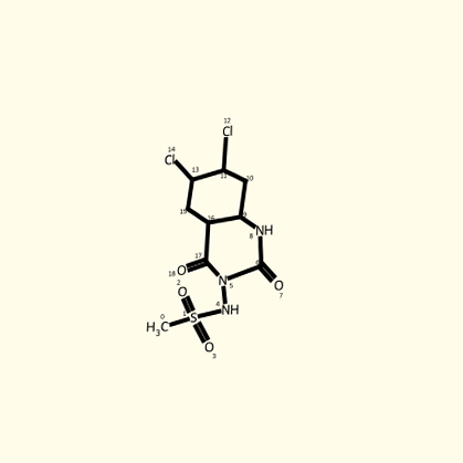 CS(=O)(=O)NN1C(=O)NC2CC(Cl)C(Cl)CC2C1=O